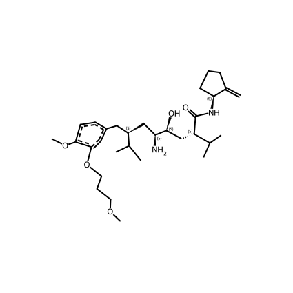 C=C1CCC[C@@H]1NC(=O)[C@@H](C[C@H](O)[C@@H](N)C[C@H](Cc1ccc(OC)c(OCCCOC)c1)C(C)C)C(C)C